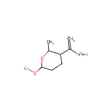 C=C(CCCCC)C1CCC(OCl)OC1C